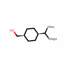 CCCCCCCC(CCCCCC)[C@H]1CC[C@@H](CO)CC1